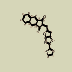 O=C1C(=Cc2cc3sc(-c4nccs4)nc3o2)C(=O)c2cc3ccccc3cc21